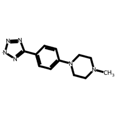 CN1CCN(c2ccc(C3=N[N]N=N3)cc2)CC1